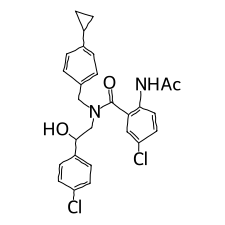 CC(=O)Nc1ccc(Cl)cc1C(=O)N(Cc1ccc(C2CC2)cc1)CC(O)c1ccc(Cl)cc1